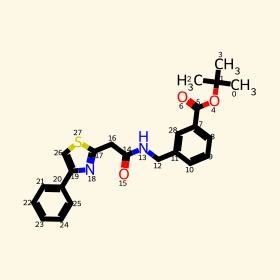 CC(C)(C)OC(=O)c1cccc(CNC(=O)Cc2nc(-c3ccccc3)cs2)c1